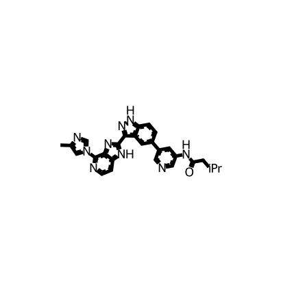 Cc1cn(-c2nccc3[nH]c(-c4n[nH]c5ccc(-c6cncc(NC(=O)CC(C)C)c6)cc45)nc23)cn1